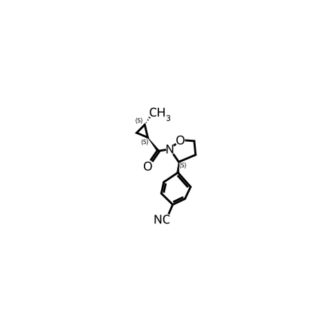 C[C@H]1C[C@@H]1C(=O)N1OCC[C@H]1c1ccc(C#N)cc1